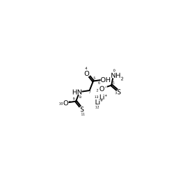 NC([O-])=S.O=C(O)CNC([O-])=S.[Li+].[Li+]